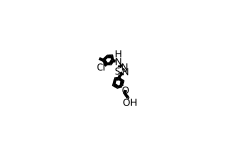 Cc1ccc(Nc2nnc(-c3cccc(OCCO)c3)s2)cc1Cl